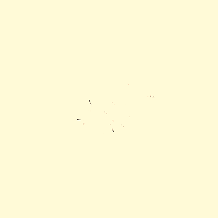 C=C1C[C@@H](OCC)[C@@H](c2ccccc2)N2[C@@H]1N(C)C(=O)c1c(OC)c(=O)ccn12